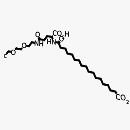 CC(=O)COCCOCCNC(=O)CC[C@H](NC(=O)CCCCCCCCCCCCCCCCC(=O)O)C(=O)O